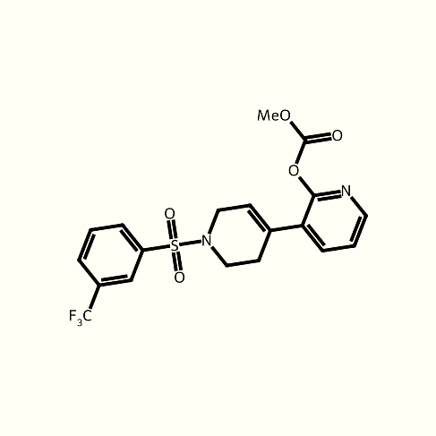 COC(=O)Oc1ncccc1C1=CCN(S(=O)(=O)c2cccc(C(F)(F)F)c2)CC1